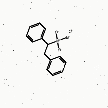 CC[N+](CC)(CC)C(Cc1ccccc1)c1ccccc1.[Cl-]